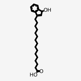 O=C(O)CCCCCCCCCCCCCCCC1=CC(O)c2ccccc21